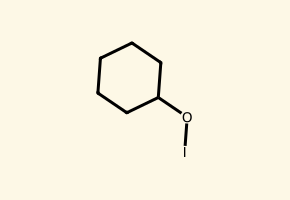 IOC1CCCCC1